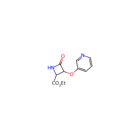 CCOC(=O)C1NC(=O)C1Oc1cccnc1